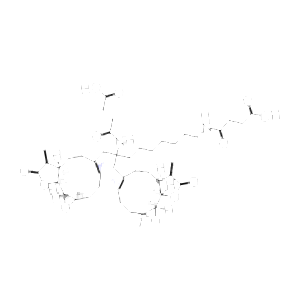 C=C1C(=O)O[C@H]2[C@H]1CC/C(CC(CCCCCCCNC(=O)CCC(=O)O)(C/C1=C/CC[C@@]3(C)O[C@H]3[C@H]3OC(=O)C(=C)[C@@H]3CC1)NC(=O)CCC(=O)O)=C\CC[C@@]1(C)O[C@@H]21